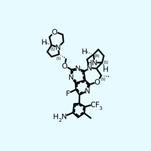 Cc1cc(N)cc(-c2nc3c4c(nc(OC[C@@H]5CC[C@H]6COCCN65)nc4c2F)N2C[C@H]4CC[C@H](N4)C2[C@H](C)O3)c1C(F)(F)F